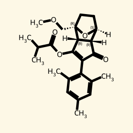 COC[C@]12CC[C@H](O1)[C@@H]1C(=O)C(c3c(C)cc(C)cc3C)=C(OC(=O)C(C)C)[C@@H]12